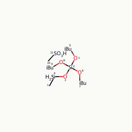 CCC(C)O[Si](O[SiH2]C)(OC(C)CC)OC(C)CC.CS(=O)(=O)O